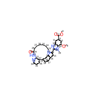 COC(=O)c1cc(OC)c2c(c1)nc(-c1cc3ccc4cc3n1CCCCCCC(=O)Nc1ncccc1-4)n2C